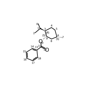 CC(C)[C@H]1CC[C@H](C)C[C@@H]1OC(=O)c1ccccc1